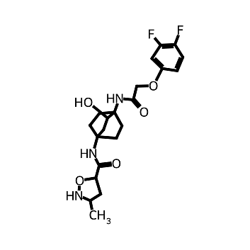 CC1CC(C(=O)NC23CCC(NC(=O)COc4ccc(F)c(F)c4)(CC2)C(O)C3)ON1